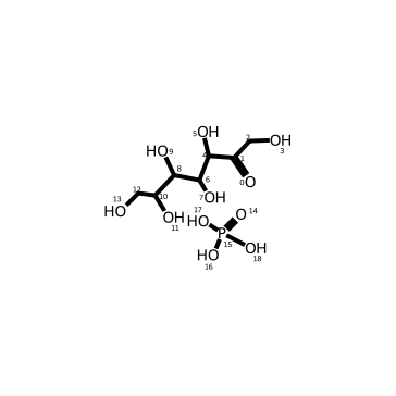 O=C(CO)C(O)C(O)C(O)C(O)CO.O=P(O)(O)O